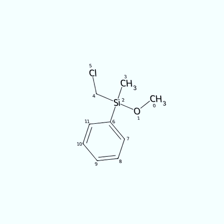 CO[Si](C)(CCl)c1ccccc1